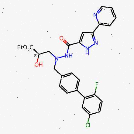 CCOC(=O)[C@H](O)CN(Cc1ccc(-c2cc(Cl)ccc2F)cc1)NC(=O)c1cc(-c2ccccn2)n[nH]1